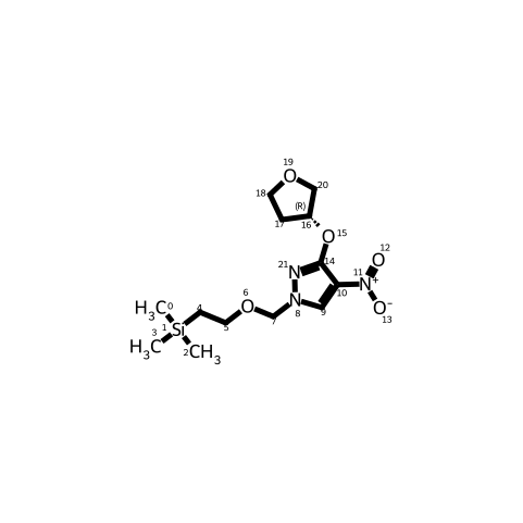 C[Si](C)(C)CCOCn1cc([N+](=O)[O-])c(O[C@@H]2CCOC2)n1